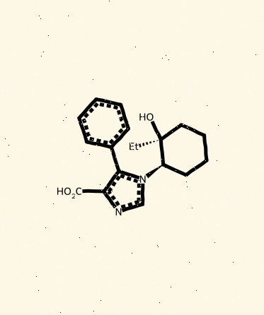 CC[C@]1(O)CCCC[C@H]1n1cnc(C(=O)O)c1-c1ccccc1